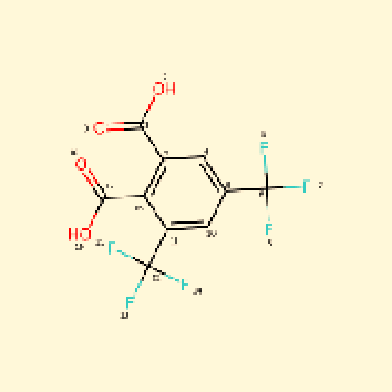 O=C(O)c1cc(C(F)(F)F)cc(C(F)(F)F)c1C(=O)O